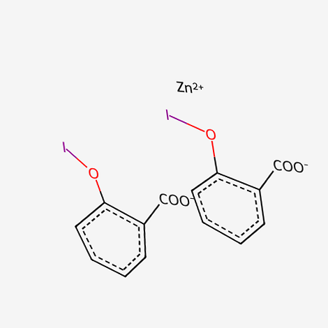 O=C([O-])c1ccccc1OI.O=C([O-])c1ccccc1OI.[Zn+2]